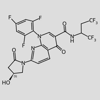 O=C(NC(CC(F)(F)F)C(F)(F)F)c1cn(-c2c(F)cc(F)cc2F)c2nc(N3C[C@@H](O)CC3=O)ccc2c1=O